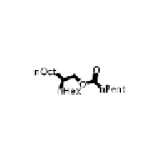 CCCCCCCCC(CCCCCC)COC(=O)CCCCC